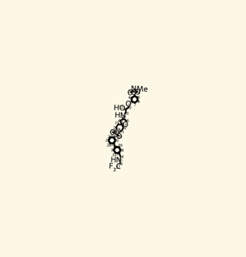 CNS(=O)(=O)c1cccc(OC[C@@H](O)CNC2COC3(CCN(S(=O)(=O)c4cccc(-c5ccc(CNCC(F)(F)F)cc5)c4)CC3)C2)c1